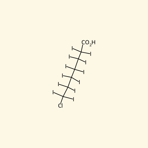 O=C(O)C(I)(I)C(I)(I)C(I)(I)C(I)(I)C(I)(I)C(Cl)(I)I